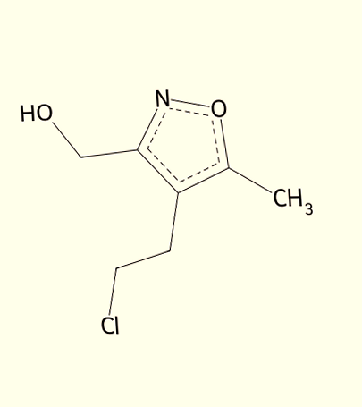 Cc1onc(CO)c1CCCl